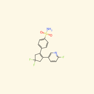 NS(=O)(=O)c1ccc(C2=C(c3ccc(F)nc3)CC(F)(F)C2)cc1